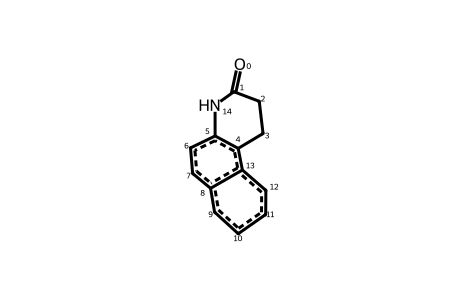 O=C1CCc2c(ccc3ccccc23)N1